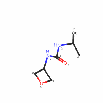 CC(=O)C(C)NC(=O)NC1COC1